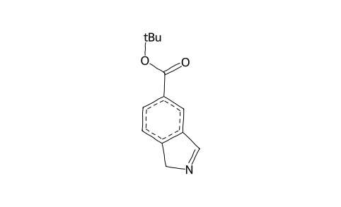 CC(C)(C)OC(=O)c1ccc2c(c1)C=NC2